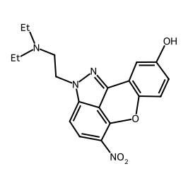 CCN(CC)CCn1nc2c3c(c([N+](=O)[O-])ccc31)Oc1ccc(O)cc1-2